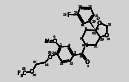 COc1cc(C(=O)N2CC[C@@]3(c4cccc(F)c4)OCOC3C2)ccc1OCCOC(F)(F)F